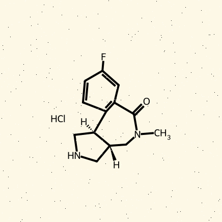 CN1C[C@@H]2CNC[C@H]2c2ccc(F)cc2C1=O.Cl